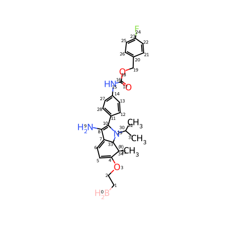 BCCOC1=CC=C2C(N)=C(c3ccc(NC(=O)OCc4ccc(F)cc4)cc3)N(C(C)C)C2[C@H]1C